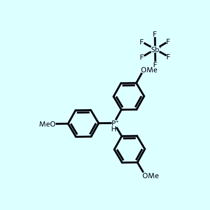 COc1ccc([PH+](c2ccc(OC)cc2)c2ccc(OC)cc2)cc1.[F][Sb-]([F])([F])([F])([F])[F]